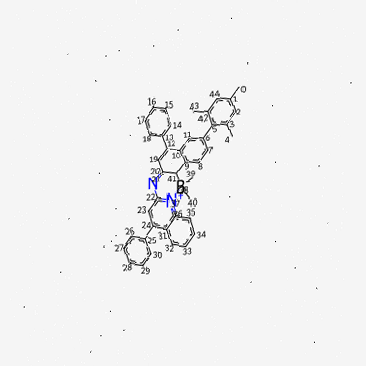 Cc1cc(C)c(-c2ccc3c(c2)C(c2ccccc2)=CC2=Nc4cc(-c5ccccc5)c5ccccc5[n+]4[B-](C)(C)C23)c(C)c1